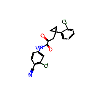 N#Cc1ccc(NC(=O)C(=O)CC2(c3ccccc3Cl)CC2)cc1Cl